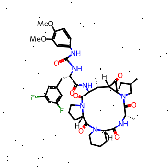 COc1ccc(NC(=O)N[C@@H](Cc2cc(F)cc(F)c2)C(=O)N[C@@H]2C(=O)N3CCC[C@H]3C(=O)N3CCCC[C@H]3C(=O)N[C@@H](C)C(=O)N3C[C@H](C)C[C@@]34C(=O)[C@H]4[C@H]2C)cc1OC